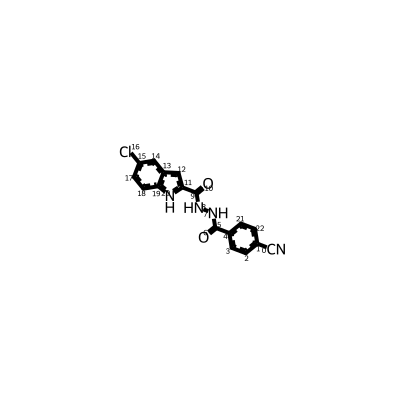 N#Cc1ccc(C(=O)NNC(=O)c2cc3cc(Cl)ccc3[nH]2)cc1